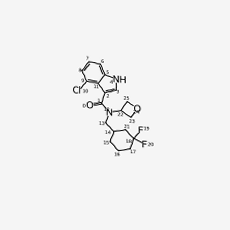 O=C(c1c[nH]c2cccc(Cl)c12)N(CC1CCCC(F)(F)C1)C1COC1